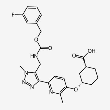 Cc1nc(-c2nnn(C)c2CNC(=O)OCc2cccc(F)c2)ccc1O[C@H]1CCC[C@H](C(=O)O)C1